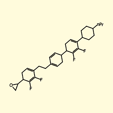 CCCC1CCC(C2=CCC(C3C=CC(CCC4=CCC(C5CO5)C(F)=C4F)=CC3)C(F)=C2F)CC1